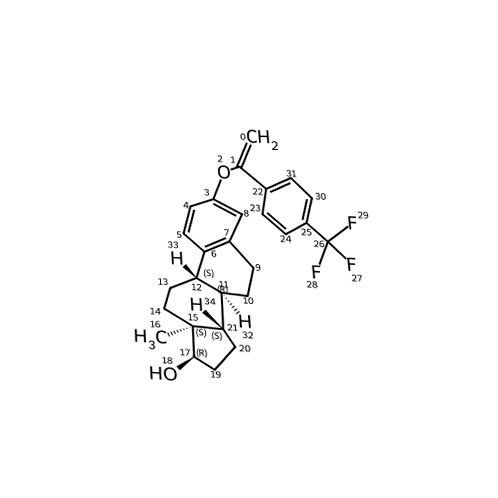 C=C(Oc1ccc2c(c1)CC[C@@H]1[C@@H]2CC[C@]2(C)[C@H](O)CC[C@@H]12)c1ccc(C(F)(F)F)cc1